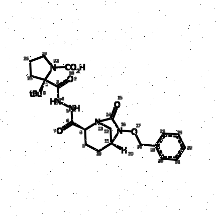 CC(C)(C)[C@@]1(C(=O)NNC(=O)[C@@H]2CC[C@@H]3CN2C(=O)N3OCc2ccccc2)CCCN1C(=O)O